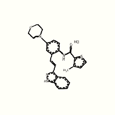 Cc1ccsc1C(=O)Nc1ccc(N2CCOCC2)cc1/C=C/c1n[nH]c2ccccc12.Cl